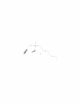 CC#CCC(F)(CCCCCC)C(=O)O